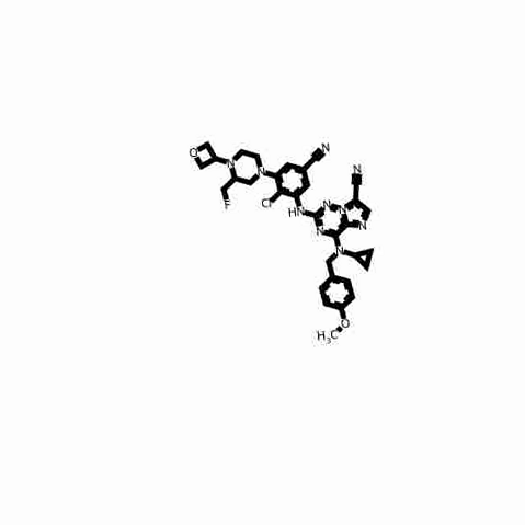 COc1ccc(CN(c2nc(Nc3cc(C#N)cc(N4CCN(C5COC5)C(CF)C4)c3Cl)nn3c(C#N)cnc23)C2CC2)cc1